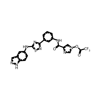 O=C(Nc1cccc(-c2nsc(Nc3ccc4[nH]ncc4c3)n2)c1)c1cn(OC(=O)C(F)(F)F)cn1